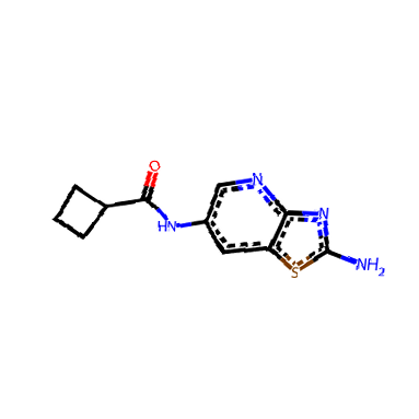 Nc1nc2ncc(NC(=O)C3CCC3)cc2s1